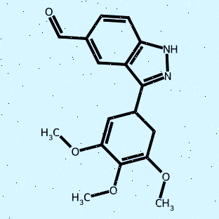 COC1=CC(c2n[nH]c3ccc(C=O)cc23)CC(OC)=C1OC